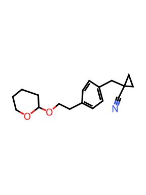 N#CC1(Cc2ccc(CCOC3CCCCO3)cc2)CC1